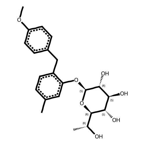 COc1ccc(Cc2ccc(C)cc2O[C@@H]2O[C@H]([C@@H](C)O)[C@@H](O)[C@H](O)[C@H]2O)cc1